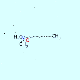 CCCCCCCCCCCCCC(=O)CN(C)CCC